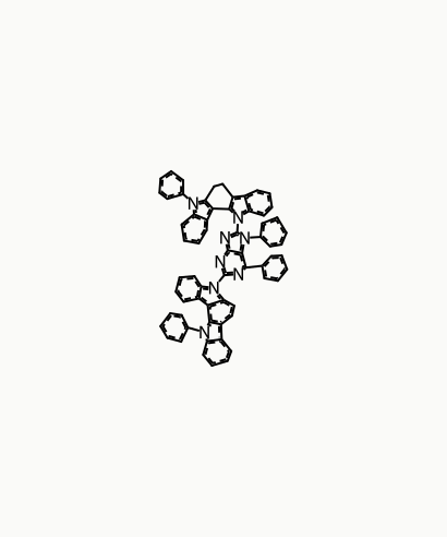 c1ccc(-c2nc(-n3c4ccccc4c4c3ccc3c5ccccc5n(-c5ccccc5)c34)nc3nc(-n4c5c(c6ccccc64)CCc4c-5c5ccccc5n4-c4ccccc4)n(-c4ccccc4)c23)cc1